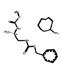 CC(C)(C)OC(=O)N[C@H](CNC(=O)OCc1ccccc1)C(=O)O.NC1CCCCC1